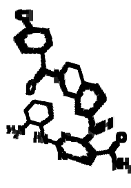 NC(=O)c1cnc(NC2CCCCC2N)nc1Nc1ccc2c(c1)CN(C(=O)c1ccc(Cl)cc1)CC2